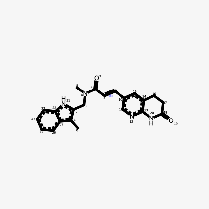 Cc1c(CN(C)C(=O)/C=C/c2cnc3c(c2)CCC(=O)N3)[nH]c2ccccc12